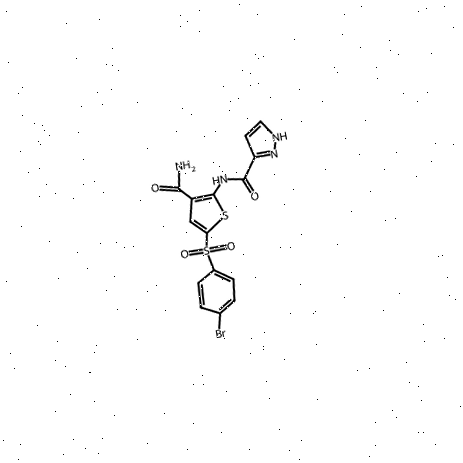 NC(=O)c1cc(S(=O)(=O)c2ccc(Br)cc2)sc1NC(=O)c1cc[nH]n1